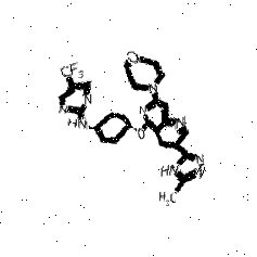 Cc1nnc(-c2cnc3cc(N4CCOCC4)nc(O[C@H]4CC[C@@H](Nc5ncc(C(F)(F)F)cn5)CC4)c3c2)[nH]1